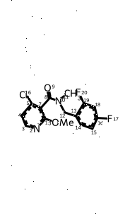 COc1nccc(Cl)c1C(=O)N(C)Cc1ccc(F)cc1F